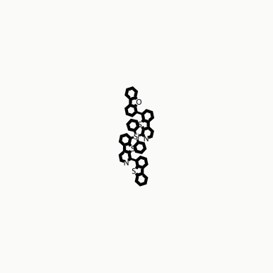 c1ccc([Si](c2ccccc2)(c2cccc3c2sc2c(-c4cccc5c4sc4ccccc45)nccc23)c2nccc3c2sc2c(-c4cccc5c4oc4ccccc45)cccc23)cc1